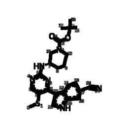 CSc1cnc(N[C@H]2CCCN(C(=O)OC(C)(C)C)C2)nc1-c1c[nH]c2cc(C#N)ccc12